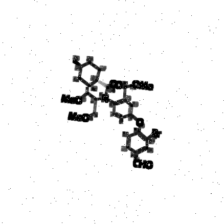 COCC(COC)N(c1ccc(Oc2ccc(C=O)cc2Br)cc1C(=O)OC)C(=O)[C@H]1CC[C@H](C)CC1